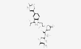 CC(=O)c1nn(CC(=O)N2C[C@H](F)C[C@H]2C(=O)Nc2cnc(C)c(Br)n2)c2ccc(-c3cnc(C)nc3)cc12